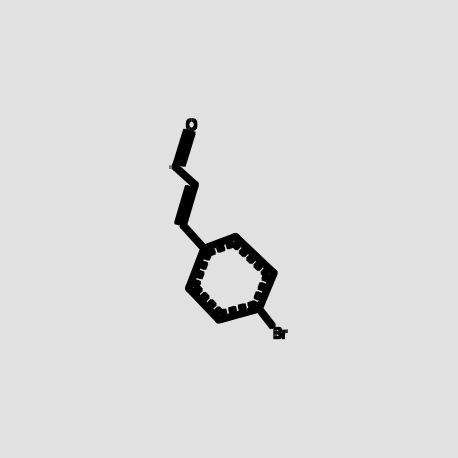 O=[C]/C=C/c1ccc(Br)cc1